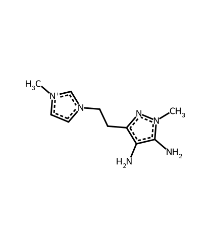 Cn1nc(CCn2cc[n+](C)c2)c(N)c1N